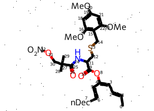 CC=CC=C(C=CCCCCCCCCCC)OC(=O)C(CSCc1c(OC)cc(OC)cc1OC)NC(=O)C(C)(C)CO[N+](=O)[O-]